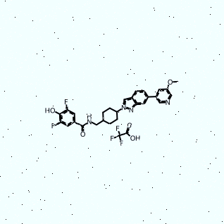 COc1cncc(-c2ccc3cn(C4CCC(CNC(=O)c5cc(F)c(O)c(F)c5)CC4)nc3c2)c1.O=C(O)C(F)(F)F